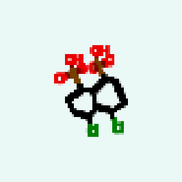 O=S(=O)(O)c1ccc(Cl)c2c(Cl)ccc(S(=O)(=O)O)c12